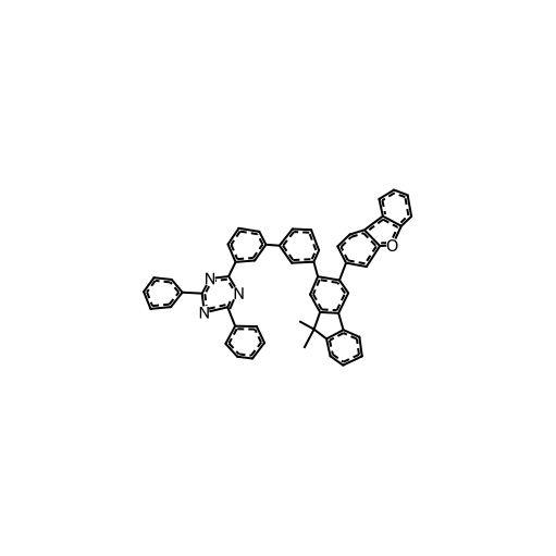 CC1(C)c2ccccc2-c2cc(-c3ccc4c(c3)oc3ccccc34)c(-c3cccc(-c4cccc(-c5nc(-c6ccccc6)nc(-c6ccccc6)n5)c4)c3)cc21